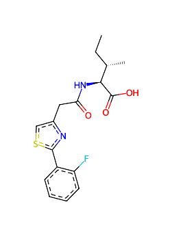 CC[C@H](C)[C@H](NC(=O)Cc1csc(-c2ccccc2F)n1)C(=O)O